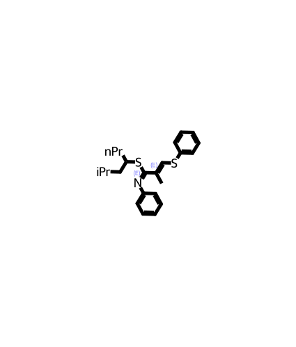 CCCC(CC(C)C)SC(=N/c1ccccc1)/C(C)=C/Sc1ccccc1